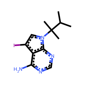 CC(C)C(C)(C)n1cc(I)c2c(N)ncnc21